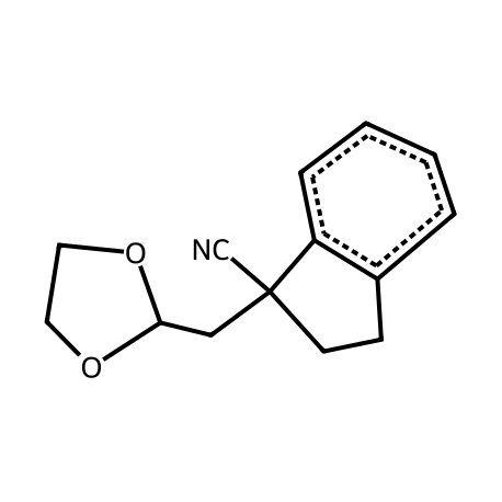 N#CC1(CC2OCCO2)CCc2ccccc21